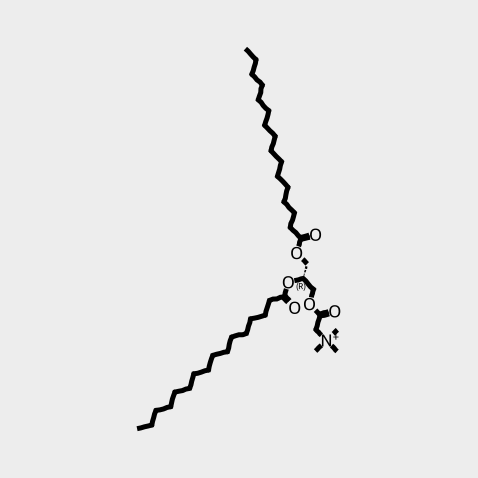 CCCCCCCCCCCCCCCC(=O)OC[C@H](COC(=O)C[N+](C)(C)C)OC(=O)CCCCCCCCCCCCCCC